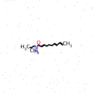 CC=CC=CCCCC=CC(=O)NCC(C)C